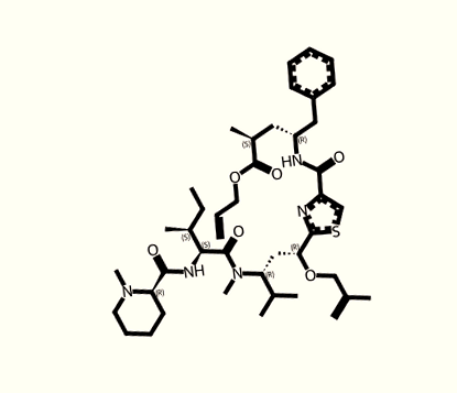 C=CCOC(=O)[C@@H](C)C[C@H](Cc1ccccc1)NC(=O)c1csc([C@@H](C[C@H](C(C)C)N(C)C(=O)[C@@H](NC(=O)[C@H]2CCCCN2C)[C@@H](C)CC)OCC(=C)C)n1